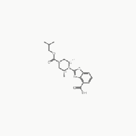 CC(C)COC(=O)N1C[C@H](C)N(c2nc3c(C(=O)O)cccc3o2)[C@@H](C)C1